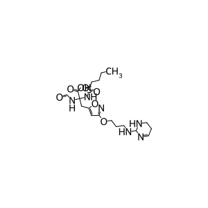 CCCCS(=O)(=O)NC(Cc1cc(OCCCNC2N=CCCN2)no1)(NC=O)C(=O)O